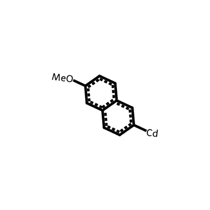 COc1ccc2c[c]([Cd])ccc2c1